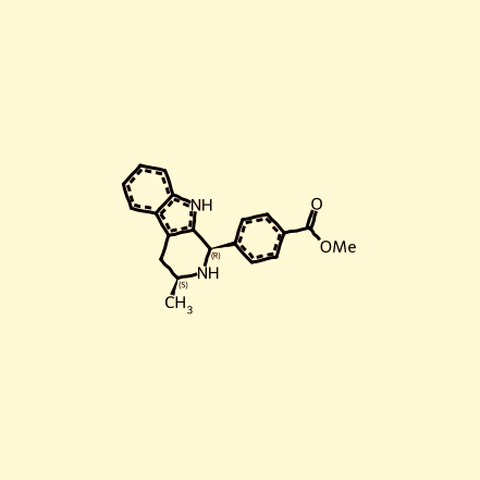 COC(=O)c1ccc([C@H]2N[C@@H](C)Cc3c2[nH]c2ccccc32)cc1